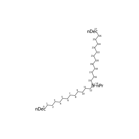 CCCCCCCCCCCCCCCCCCCCCCN(CCC)CCCCCCCCCCCCCCCCCCCCCC